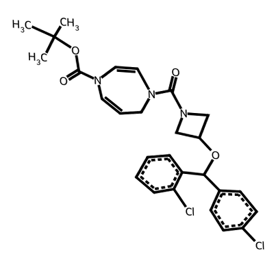 CC(C)(C)OC(=O)N1C=CCN(C(=O)N2CC(OC(c3ccc(Cl)cc3)c3ccccc3Cl)C2)C=C1